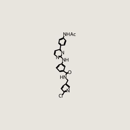 CC(=O)Nc1ccc(-c2ccnc(Nc3cccc(C(=O)NCc4ccc(Cl)nc4)c3)n2)cc1